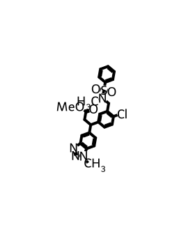 COC(=O)CC(c1ccc(Cl)c(CN(C)S(=O)(=O)c2ccccc2)c1)c1ccc2c(c1)nnn2C